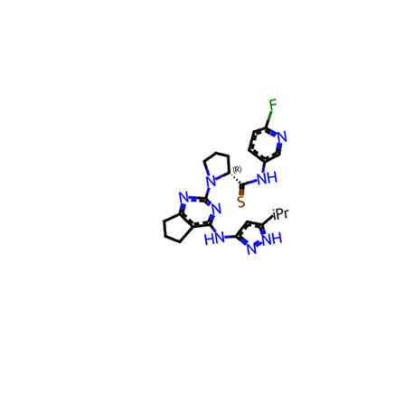 CC(C)c1cc(Nc2nc(N3CCC[C@@H]3C(=S)Nc3ccc(F)nc3)nc3c2CCC3)n[nH]1